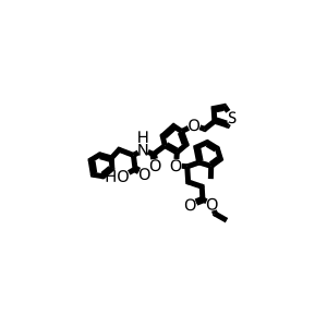 CCOC(=O)CCC(Oc1cc(OCc2ccsc2)ccc1C(=O)NC(Cc1ccccc1)C(=O)O)c1ccccc1C